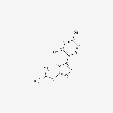 CC(Cc1cnc(-c2ccc(O)cc2Cl)s1)C(=O)O